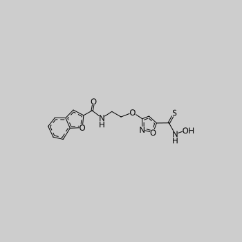 O=C(NCCOc1cc(C(=S)NO)on1)c1cc2ccccc2o1